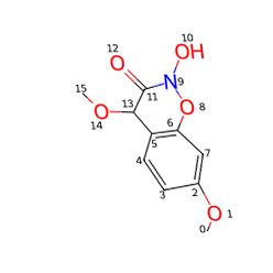 COc1ccc2c(c1)ON(O)C(=O)C2OC